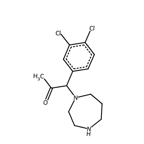 CC(=O)C(c1ccc(Cl)c(Cl)c1)N1CCCNCC1